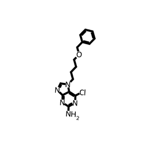 Nc1nc(Cl)c2c(ncn2CCCCOCc2ccccc2)n1